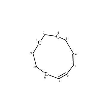 [CH]1/C=C\C=C/CCCCCC1